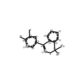 Cc1cc(C2=NCC(F)(F)c3ccccc32)cnc1C